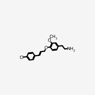 COc1cc(CCN)ccc1OC/C=C/c1ccc(Cl)cc1